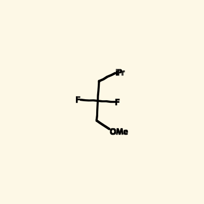 COCC(F)(F)CC(C)C